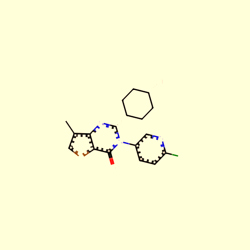 Cc1csc2c(=O)n(-c3ccc(Cl)nc3)c([C@H]3CC[C@@H](C(F)(F)F)CC3)nc12